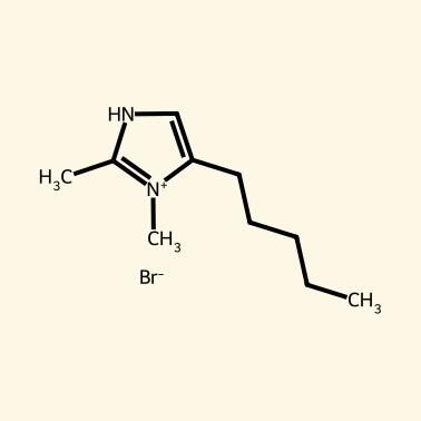 CCCCCc1c[nH]c(C)[n+]1C.[Br-]